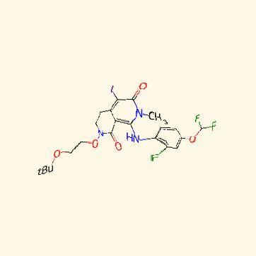 Cn1c(Nc2ccc(OC(F)F)cc2F)c2c(c(I)c1=O)CCN(OCCOC(C)(C)C)C2=O